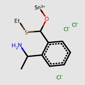 CCSC([O][Sn+3])c1ccccc1C(C)N.[Cl-].[Cl-].[Cl-]